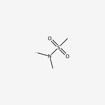 [CH2]N(C)S(C)(=O)=O